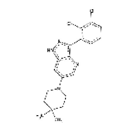 CC1(N)CCN(c2cnc3c(-c4cccc(Cl)c4Cl)n[nH]c3c2)CC1